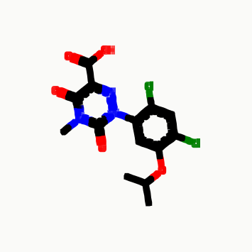 CC(C)Oc1cc(-n2nc(C(=O)O)c(=O)n(C)c2=O)c(Cl)cc1Cl